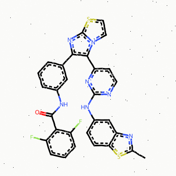 Cc1nc2cc(Nc3nccc(-c4c(-c5cccc(NC(=O)c6c(F)cccc6F)c5)nc5sccn45)n3)ccc2s1